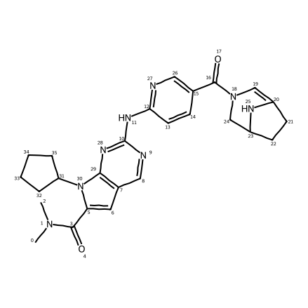 CN(C)C(=O)c1cc2cnc(Nc3ccc(C(=O)N4C=C5CCC(C4)N5)cn3)nc2n1C1CCCC1